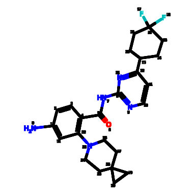 Nc1ccc(C(=O)Nc2nccc(C3CCC(F)(F)CC3)n2)c(N2CCC3(CC2)CC3)c1